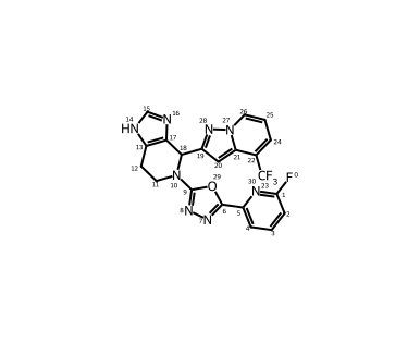 Fc1cccc(-c2nnc(N3CCc4[nH]cnc4C3c3cc4c(C(F)(F)F)cccn4n3)o2)n1